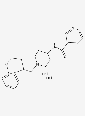 Cl.Cl.O=C(NC1CCN(CC2CCOc3ccccc32)CC1)c1cccnc1